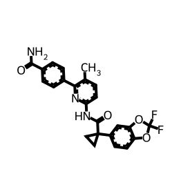 Cc1ccc(NC(=O)C2(c3ccc4c(c3)OC(F)(F)O4)CC2)nc1-c1ccc(C(N)=O)cc1